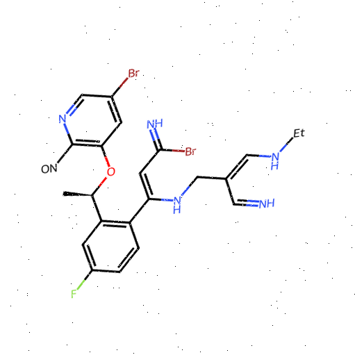 CCN/C=C(\C=N)CN/C(=C\C(=N)Br)c1ccc(F)cc1[C@@H](C)Oc1cc(Br)cnc1N=O